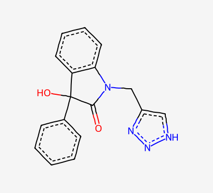 O=C1N(Cc2c[nH]nn2)c2ccccc2C1(O)c1ccccc1